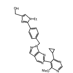 CCn1cc(CO)nc1-c1ccc(Cn2ncc3cnc(-c4c(OC)ncnc4C4CC4)nc32)cc1